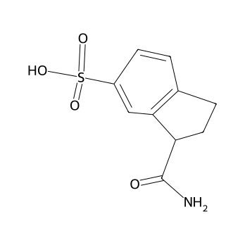 NC(=O)C1CCc2ccc(S(=O)(=O)O)cc21